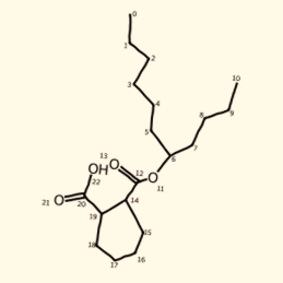 CCCCCCC(CCCC)OC(=O)C1CCCCC1C(=O)O